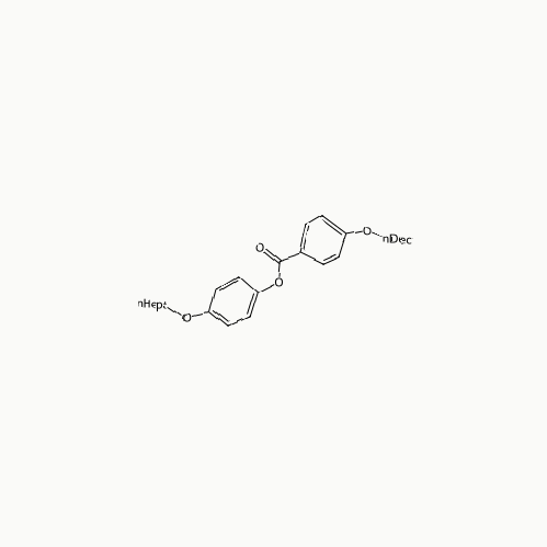 CCCCCCCCCCOc1ccc(C(=O)Oc2ccc(OCCCCCCC)cc2)cc1